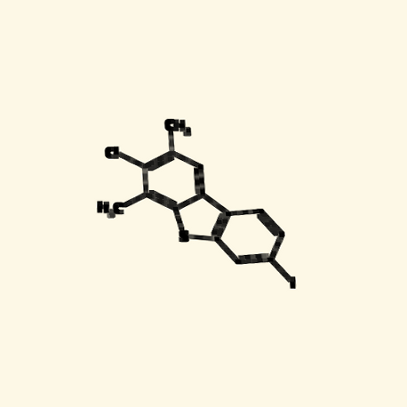 Cc1cc2c(sc3cc(I)ccc32)c(C)c1Cl